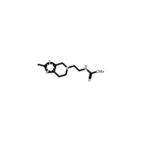 COC(=O)NCCN1CCc2nc(C)sc2C1